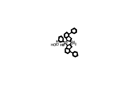 Cl.Cl.[BH]=[Zr]([c]1ccccc1)([CH]1C(C)=Cc2c(-c3ccccc3)cccc21)[CH]1C(C)=Cc2c(-c3ccccc3)cccc21